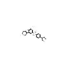 COc1cc(S(=O)(=O)c2ccc(C3CCOC3)cc2)cc2c3c(oc12)CCNC3